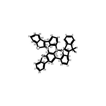 CC1(C)c2ccccc2-c2c1c1cccc3c1n2B1c2c-3cc3c(sc4ccccc43)c2-n2c3oc4ccccc4c3c3cccc1c32